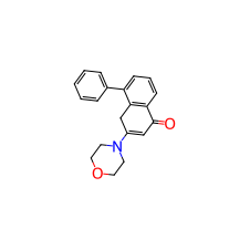 O=C1C=C(N2CCOCC2)Cc2c1cccc2-c1ccccc1